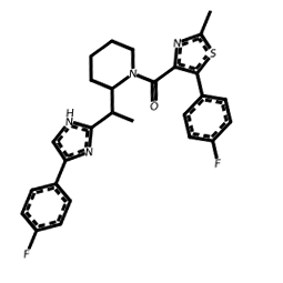 Cc1nc(C(=O)N2CCCCC2C(C)c2nc(-c3ccc(F)cc3)c[nH]2)c(-c2ccc(F)cc2)s1